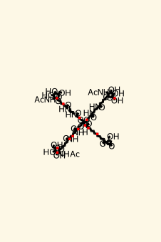 CC(=O)NC1C(OCCCCC(=O)NCCCNC(=O)CCOCC(COCCC(=O)NCCCNC(=O)CCCCOC2OC(CO)C(O)C(O)C2NC(C)=O)(COCCC(=O)NCCCNC(=O)CCCCOC2OC(CO)C(O)C(O)C2NC(C)=O)NC(=O)CCCCCCCCCCC(=O)N2CC(=O)C[C@H]2CO)OC(CO)C(O)C1O